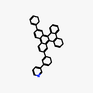 C1=CCCC(c2ccc3c4ccc(C5=CC(c6cccnc6)=CCC5)cc4c4c5c(c6ccccc6c4c3c2)CCC=C5)=C1